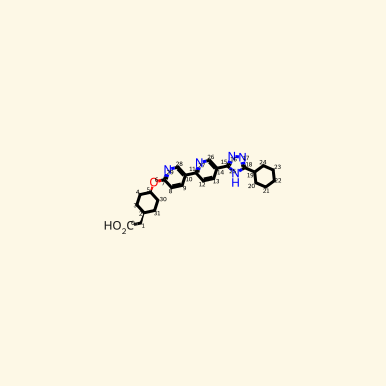 O=C(O)C[C@H]1CC[C@@H](Oc2ccc(-c3ccc(-c4nnc(C5CCCCC5)[nH]4)cn3)cn2)CC1